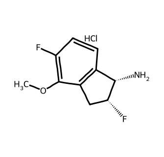 COc1c(F)ccc2c1C[C@@H](F)[C@H]2N.Cl